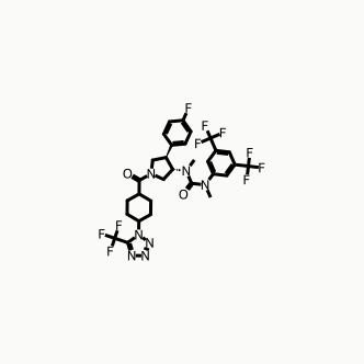 CN(C(=O)N(C)[C@@H]1CN(C(=O)C2CCC(n3nnnc3C(F)(F)F)CC2)C[C@H]1c1ccc(F)cc1)c1cc(C(F)(F)F)cc(C(F)(F)F)c1